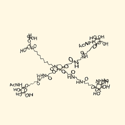 CC(=O)N[C@H]1[C@H](OCCCCC(=O)NCCCNC(=O)CCOC[C@@H]2[C@@H](OCCC(=O)NCCCNC(=O)CCCCO[C@@H]3O[C@H](CO)[C@H](O)[C@H](O)[C@H]3NC(C)=O)[C@H](OCCC(=O)NCCCNC(=O)CCCCO[C@@H]3O[C@H](CO)[C@H](O)[C@H](O)[C@H]3NC(C)=O)CCN2C(=O)CCCCCCCCCCC(=O)N2C[C@H](O)C[C@H]2CO[PH](=O)O)O[C@H](CO)[C@H](O)[C@@H]1O